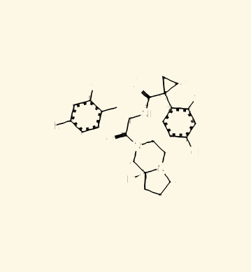 O=C([C@H](Cc1ccc(Cl)cc1Cl)NC(=O)C1(c2ccc(Cl)cc2Cl)CC1)N1CCN2CCC[C@@H]2C1